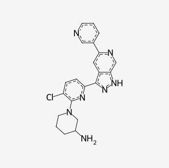 NC1CCCN(c2nc(-c3n[nH]c4cnc(-c5cccnc5)cc34)ccc2Cl)C1